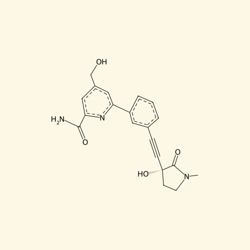 CN1CC[C@@](O)(C#Cc2cccc(-c3cc(CO)cc(C(N)=O)n3)c2)C1=O